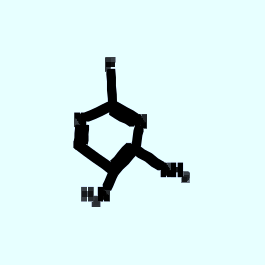 Nc1cnc(F)nc1N